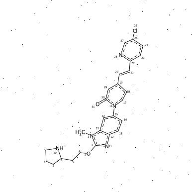 Cn1c(OCCC2CCCN2)nc2ccc(-n3ccc(C=Cc4ccc(Cl)cn4)cc3=O)cc21